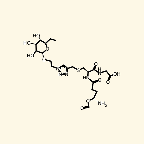 CCC1O[C@@H](OCCn2cc(CSC[C@H](NC(=O)CC[C@H](N)OC=O)C(=O)NCC(=O)O)nn2)C(O)[C@@H](O)[C@@H]1O